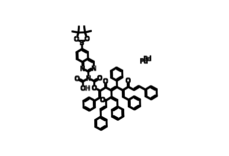 CC1(C)OB(c2ccc3nc(N(C(=O)O)C(=O)OC(=Cc4ccccc4)C(=O)C(C(=Cc4ccccc4)C(=O)C=Cc4ccccc4)=C(C(=Cc4ccccc4)C(=O)C=Cc4ccccc4)c4ccccc4)ncc3c2)OC1(C)C.[Pd].[Pd]